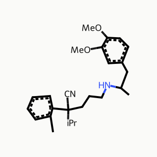 COc1ccc(CC(C)NCCCC(C#N)(c2ccccc2C)C(C)C)cc1OC